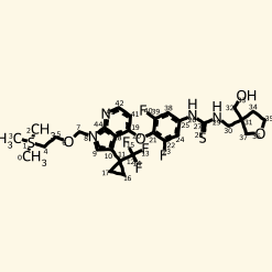 CS(C)(C)CCOCn1cc(C2(C(F)(F)F)CC2)c2c(Oc3c(F)cc(NC(=S)NCC4(CO)CCOC4)cc3F)ccnc21